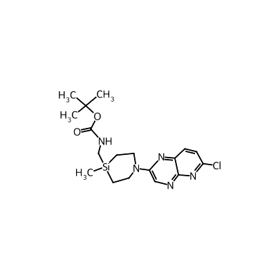 CC(C)(C)OC(=O)NC[Si]1(C)CCN(c2cnc3nc(Cl)ccc3n2)CC1